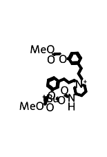 COC(=O)COc1cccc(CCC[N+]2(CCCc3cccc(OCC(=O)OC)c3)CCC[C@H](NC(=O)OC(C)(C)C)C2)c1